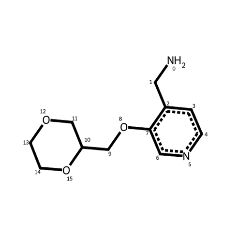 NCc1ccncc1OCC1COCCO1